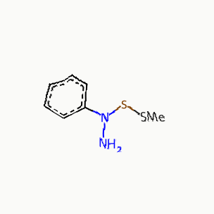 CSSN(N)c1ccccc1